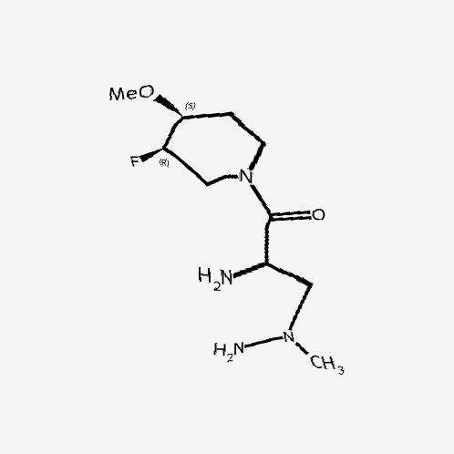 CO[C@H]1CCN(C(=O)C(N)CN(C)N)C[C@H]1F